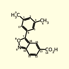 Cc1cc(C)cc(-c2onc3ccc(C(=O)O)cc23)c1